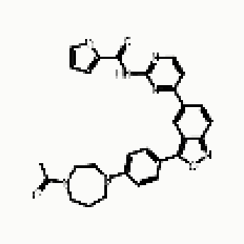 CC(=O)N1CCCN(c2ccc(-c3onc4ccc(-c5ccnc(NC(=O)c6ccco6)n5)cc34)cc2)CC1